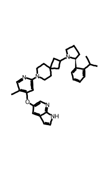 Cc1cnc(N2CCC3(CC2)CC(N2CCC[C@H]2c2ccccc2C(C)C)C3)cc1Oc1cnc2[nH]ccc2c1